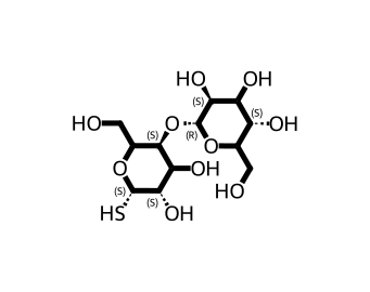 OCC1O[C@H](O[C@@H]2C(CO)O[C@@H](S)[C@@H](O)C2O)[C@@H](O)C(O)[C@@H]1O